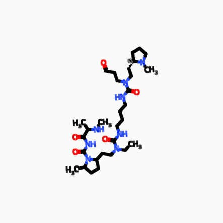 CCN(CCC1CCC(C)N1C(=O)NC(=O)C(C)NC)C(=O)NCCCCNC(=O)N(CCC=O)CC[C@@H]1CCCN1C